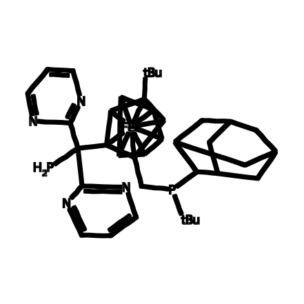 CC(C)(C)P(C[C]12[CH]3[C]4(C(C)(C)C)[CH]5[C]1(C(P)(c1ncccn1)c1ncccn1)[Fe]35241678[CH]2[CH]1[CH]6[CH]7[CH]28)C1C2CC3CC(C2)CC1C3